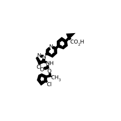 C[C@@H](OC(=O)Nc1c(Cl)cnn1-c1ccc(-c2ccc(C3(C(=O)O)CC3)cc2)nc1)c1ccccc1Cl